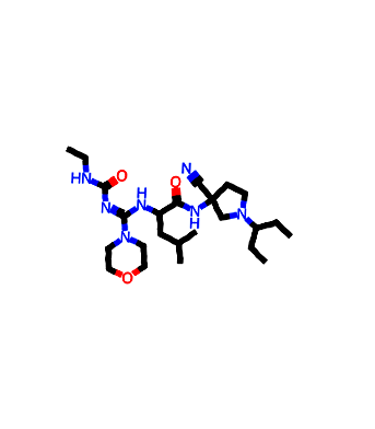 CCNC(=O)N=C(NC(CC(C)C)C(=O)NC1(C#N)CCN(C(CC)CC)C1)N1CCOCC1